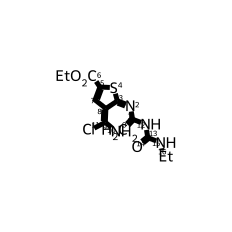 C=C(/N=C1/SC(C(=O)OCC)=C/C1=C(/N)Cl)NC(=O)NCC